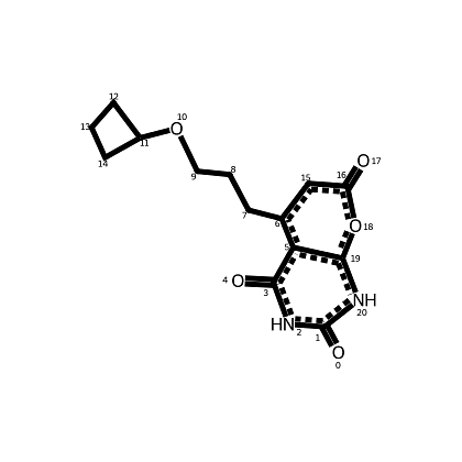 O=c1[nH]c(=O)c2c(CCCOC3CCC3)cc(=O)oc2[nH]1